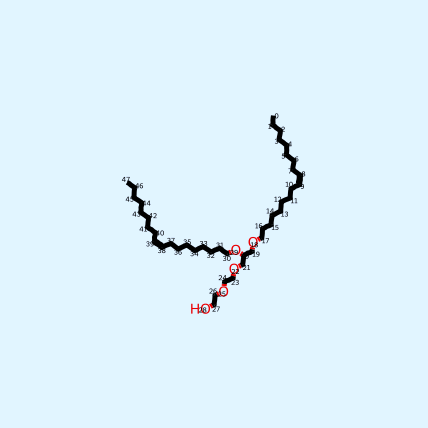 CCCCCCCC/C=C\CCCCCCCCOCC(COCCOCCO)OCCCCCCCC/C=C\CCCCCCCC